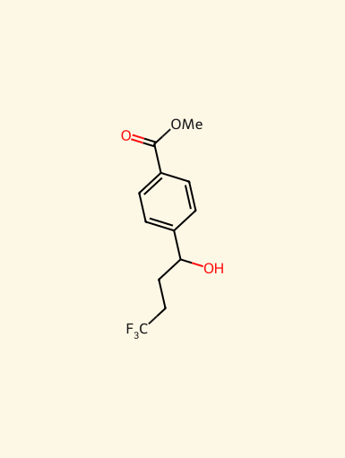 COC(=O)c1ccc(C(O)CCC(F)(F)F)cc1